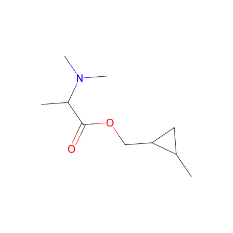 CC1CC1COC(=O)C(C)N(C)C